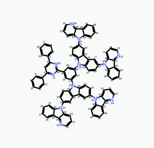 c1ccc(-c2cc(-c3ccccc3)nc(-c3cc(-n4c5ccc(-n6c7ccccc7c7ncccc76)cc5c5cc(-n6c7ccccc7c7ncccc76)ccc54)cc(-n4c5ccc(-n6c7ccccc7c7ncccc76)cc5c5cc(-n6c7ccccc7c7ncccc76)ccc54)c3)n2)cc1